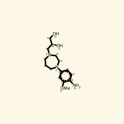 COc1cc(N2CCCN(C[C@H](O)CO)CC2)ccc1N